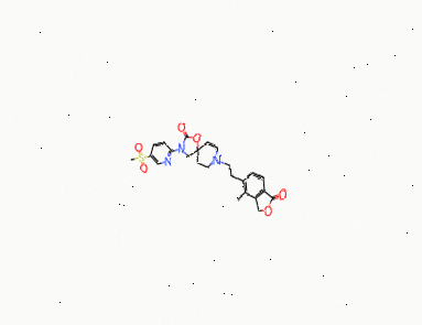 Cc1c(CCN2CCC3(CC2)CN(c2ccc(S(C)(=O)=O)cn2)C(=O)O3)ccc2c1COC2=O